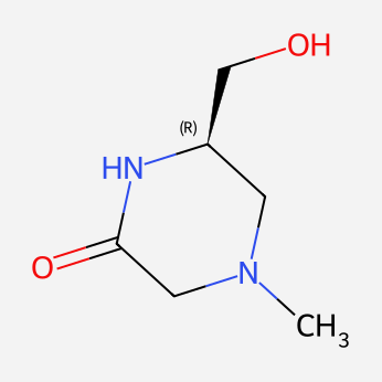 CN1CC(=O)N[C@@H](CO)C1